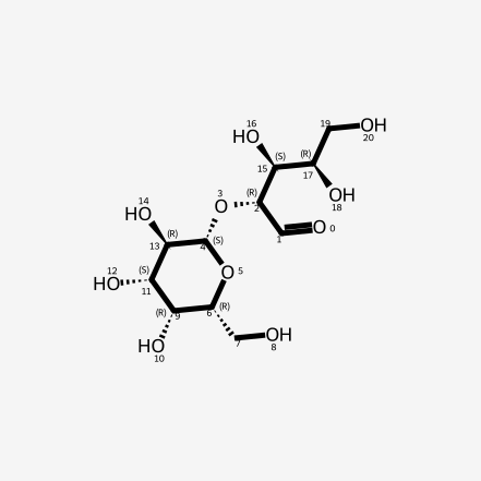 O=C[C@H](O[C@@H]1O[C@H](CO)[C@H](O)[C@H](O)[C@H]1O)[C@@H](O)[C@H](O)CO